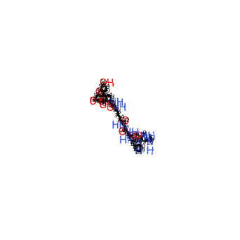 CNC(=O)[C@H](Cc1ncc[nH]1)NC(=O)[C@H](Cc1ccccc1)NC(=O)CNC(=O)CNC(=O)CCCCCNC(=O)Nc1ccc(-c2c3ccc(=O)cc-3oc3cc(O)ccc23)c(C(=O)O)c1